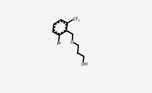 OCCCOCc1c(Br)cccc1C(F)(F)F